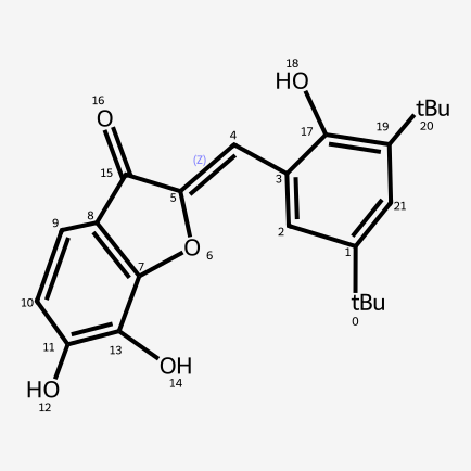 CC(C)(C)c1cc(/C=C2\Oc3c(ccc(O)c3O)C2=O)c(O)c(C(C)(C)C)c1